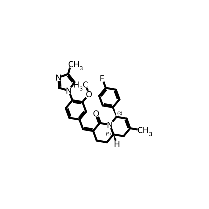 COc1cc(C=C2CC[C@H]3CC(C)=C[C@H](c4ccc(F)cc4)N3C2=O)ccc1-n1cnc(C)c1